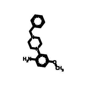 COc1ccc(N)c(N2CCN(Cc3ccccc3)CC2)c1